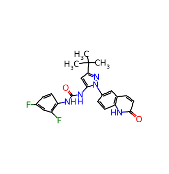 CC(C)(C)c1cc(NC(=O)Nc2ccc(F)cc2F)n(-c2ccc3[nH]c(=O)ccc3c2)n1